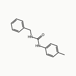 Cc1ccc(NC(=O)NCc2ccccc2)cc1